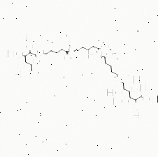 CC(=O)C(CCCCNC(=O)CCCCOC1OC(CO)C(O)C(O)C1O)NC(=O)CCCCOC(O)C(O)C(O)C(O)C(C)CO